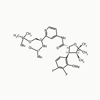 COc1c([C@H]2[C@H](C(=O)Nc3ccnc([C@H](CO[Si](C)(C)C(C)(C)C)N[S+]([O-])C(C)(C)C)c3)O[C@@](C)(C(F)(F)F)[C@H]2C)ccc(F)c1F